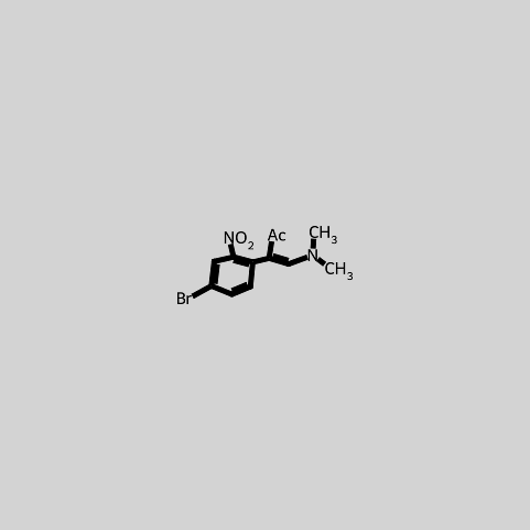 CC(=O)/C(=C\N(C)C)c1ccc(Br)cc1[N+](=O)[O-]